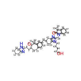 O=C1C(CCc2nc3c([nH]2)CCCC3)CCc2ccc(CC3CCc4c(nc(CN5C(=O)C6(CC6)c6ccccc65)n4CCCCO)C3)cc2C12CC2